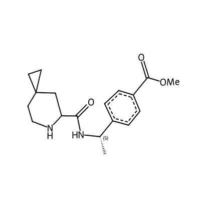 COC(=O)c1ccc([C@H](C)NC(=O)C2CC3(CCN2)CC3)cc1